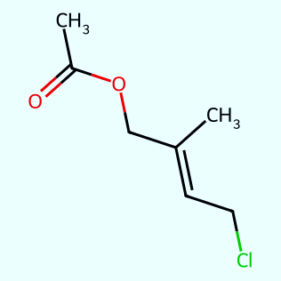 CC(=O)OC/C(C)=C/CCl